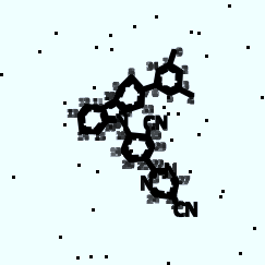 Cc1cc(C)cc(-c2ccc3c4ccccc4n(-c4ccc(-c5ncc(C#N)cn5)cc4C#N)c3c2)c1